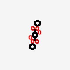 O=C1C=C(C(=O)OC2CCCCC2)C(=O)C=C1C(=O)OC1CCCCC1